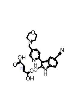 N#Cc1ccc2[nH]c(O)c(-c3ccc(CN4CCOCC4)cn3)c2c1.O=C(O)/C=C/C(=O)O